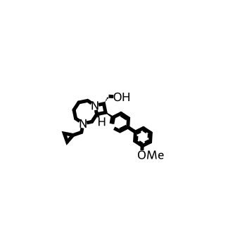 C=C(/C=C\C(=C/C)c1cccc(OC)c1)[C@@H]1[C@@H](CO)N2CCCCN(CC3CC3)C[C@@H]12